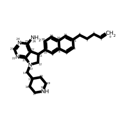 C=CCCCc1ccc2cc(C3CN(CC4CCNCC4)c4ncnc(N)c43)ccc2c1